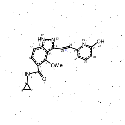 COc1c(C(=O)NC2CC2)ccc2[nH]nc(/C=C/c3cccc(O)n3)c12